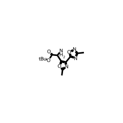 Cc1noc(-c2nc(C)oc2C(N)C(=O)OC(C)(C)C)n1